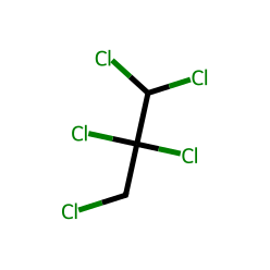 ClCC(Cl)(Cl)C(Cl)Cl